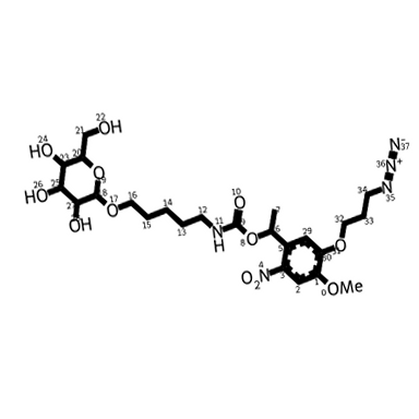 COc1cc([N+](=O)[O-])c(C(C)OC(=O)NCCCCCOC2OC(CO)C(O)C(O)C2O)cc1OCCCN=[N+]=[N-]